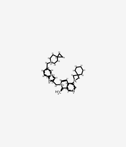 C=C1c2cncc(N3CC4(CCCCC4)C3)c2C=CN1Cc1cn2cc(CN3CCC4(CC3)CC4)ccc2n1